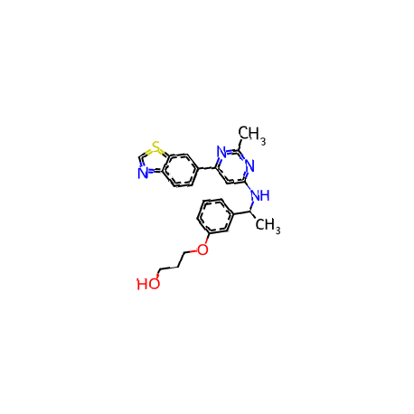 Cc1nc(NC(C)c2cccc(OCCCO)c2)cc(-c2ccc3ncsc3c2)n1